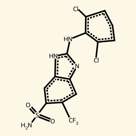 NS(=O)(=O)c1cc2[nH]c(Nc3c(Cl)cccc3Cl)nc2cc1C(F)(F)F